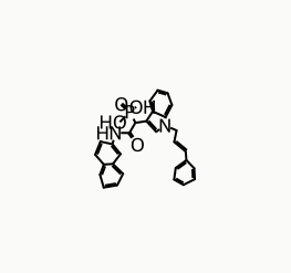 O=C(Nc1ccc2ccccc2c1)C(c1cn(CC=Cc2ccccc2)c2ccccc12)P(=O)(O)O